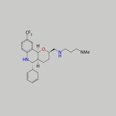 CNCCCNC[C@H]1CC[C@@H]2[C@H](O1)c1cc(C(F)(F)F)ccc1N[C@H]2C1C=CC=CC1